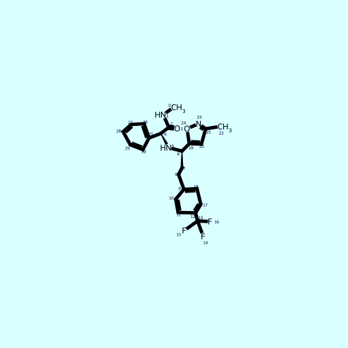 CNC(=O)[C@@H](N[C@H](CCc1ccc(C(F)(F)F)cc1)c1cc(C)no1)c1ccccc1